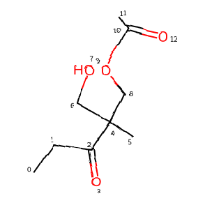 CCC(=O)C(C)(CO)COC(C)=O